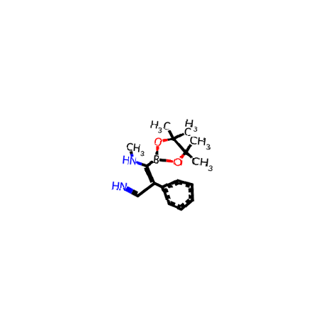 CN/C(B1OC(C)(C)C(C)(C)O1)=C(\C=N)c1ccccc1